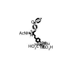 CC(=O)Nc1nc(CCc2ccc(NC(NC(=O)O)(N(C(=O)O)C(C)(C)C)C(C)(C)C)cc2)c(CN2CCN(C(=O)N3CCN(C)CC3)CC2)s1